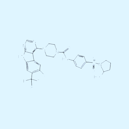 CC1CCCN1S(=O)(=O)c1ccc(NC(=S)N2CCN(c3ncnc4[nH]c5cc(C(F)(F)F)c(Cl)cc5c34)CC2)cc1